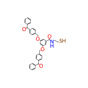 O=C(NCCS)c1cc(OCc2ccc(C(=O)c3ccccc3)cc2)cc(OCc2ccc(C(=O)c3ccccc3)cc2)c1